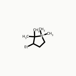 CCC1CC[N+](C)(C)C1(C)C